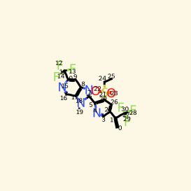 C=C(c1cnc(-c2nc3cc(C(F)(F)F)ncc3n2C)c(S(=O)(=O)CC)c1)C(F)(F)F